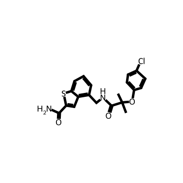 CC(C)(Oc1ccc(Cl)cc1)C(=O)NCc1cccc2sc(C(N)=O)cc12